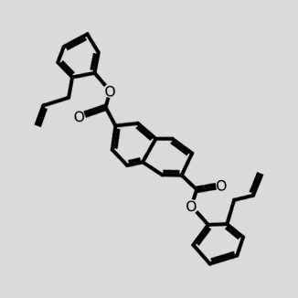 C=CCc1ccccc1OC(=O)c1ccc2cc(C(=O)Oc3ccccc3CC=C)ccc2c1